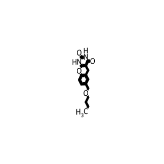 CCCCOCc1ccc2c(c1)Cc1c([nH]c(=O)[nH]c1=O)O2